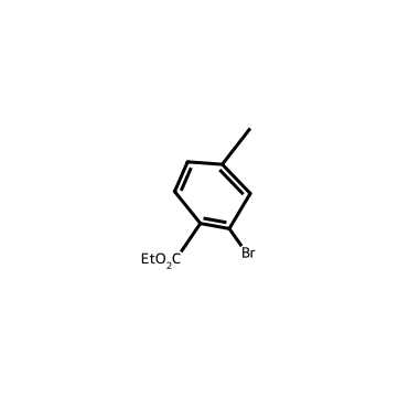 CCOC(=O)c1ccc(C)cc1Br